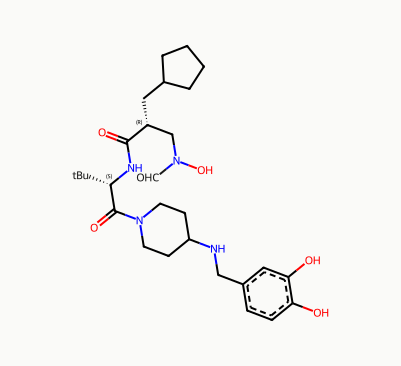 CC(C)(C)[C@H](NC(=O)[C@H](CC1CCCC1)CN(O)C=O)C(=O)N1CCC(NCc2ccc(O)c(O)c2)CC1